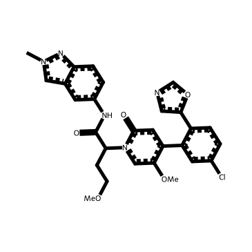 COCCC(C(=O)Nc1ccc2nn(C)cc2c1)n1cc(OC)c(-c2cc(Cl)ccc2-c2cnco2)cc1=O